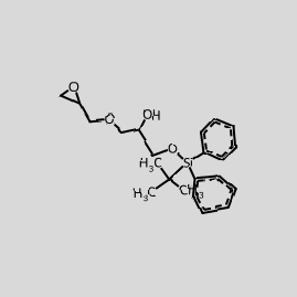 CC(C)(C)[Si](OCC(O)COCC1CO1)(c1ccccc1)c1ccccc1